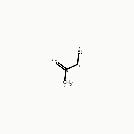 [CH2]C(=S)CCC